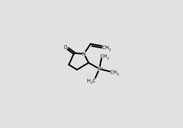 C=CN1C(=O)CCC1[N+](C)(C)C